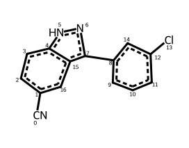 N#Cc1ccc2[nH]nc(-c3cccc(Cl)c3)c2c1